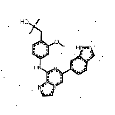 COc1cc(Nc2nc(-c3ccc4cn[nH]c4c3)cn3ccnc23)ccc1CC(C)(C)O